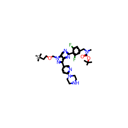 CN(Cc1cc(F)c(-c2ncc3c(n2)c(-c2ccc(N4CCNCC4)nc2)nn3COCC[Si](C)(C)C)c(F)c1)C(=O)OC(C)(C)C